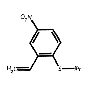 C=Cc1cc([N+](=O)[O-])ccc1SC(C)C